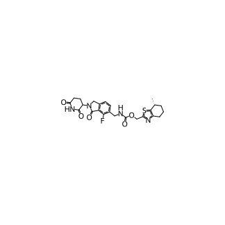 C[C@@H]1CCCc2nc(COC(=O)NCc3ccc4c(c3F)C(=O)N(C3CCC(=O)NC3=O)C4)sc21